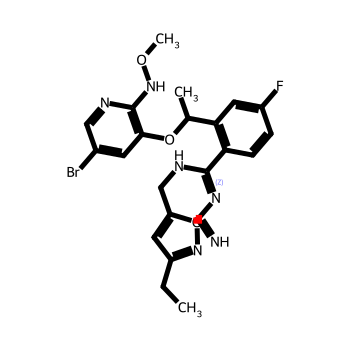 CCc1cc(CN/C(=N\C=N)c2ccc(F)cc2C(C)Oc2cc(Br)cnc2NOC)on1